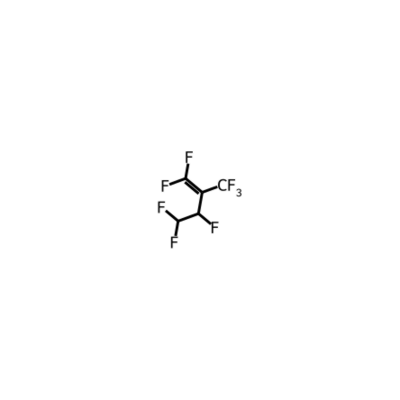 FC(F)=C(C(F)C(F)F)C(F)(F)F